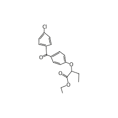 CCOC(=O)C(CC)Oc1ccc(C(=O)c2ccc(Cl)cc2)cc1